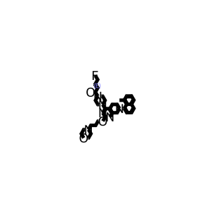 Cc1cccc2cccc(N3CCc4c(nc(OCCCN5CCOCC5)nc4N4CCN(C(=O)/C=C/CF)CC4)C3)c12